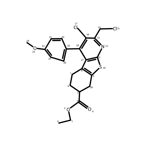 CCOC(=O)C1CCc2c(sc3nc(CCl)c(Cl)c(-c4ccc(OC)cc4)c23)C1